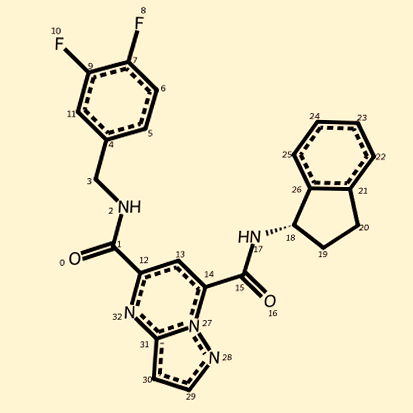 O=C(NCc1ccc(F)c(F)c1)c1cc(C(=O)N[C@H]2CCc3ccccc32)n2nccc2n1